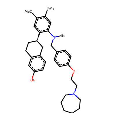 CCN(Cc1ccc(OCCN2CCCCCC2)cc1)c1cc(OC)c(OC)cc1[C@@H]1CCc2cc(O)ccc2C1